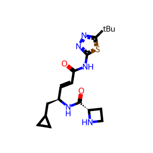 CC(C)(C)c1nnc(NC(=O)/C=C/[C@H](CC2CC2)NC(=O)[C@@H]2CCN2)s1